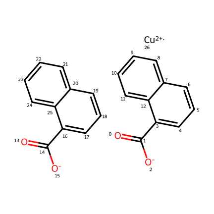 O=C([O-])c1cccc2ccccc12.O=C([O-])c1cccc2ccccc12.[Cu+2]